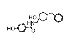 O=C(NC[C@]1(O)CC[C@H](Cc2ccccc2)CC1)c1ccc(O)cc1